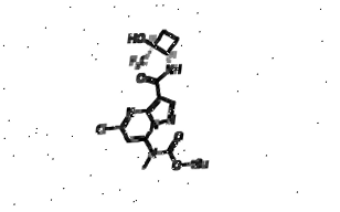 CN(C(=O)OC(C)(C)C)c1cc(Cl)nc2c(C(=O)N[C@H]3CC[C@@]3(O)C(F)(F)F)cnn12